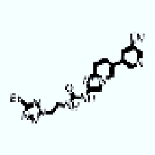 CCc1nnn(CCNC(=O)Nc2cn3cc(-c4cncc(C#N)c4)ccc3n2)n1